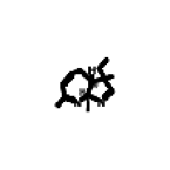 CCC1(C)C=N[C@]2(C)N=C(C)C=CC[C@H]12